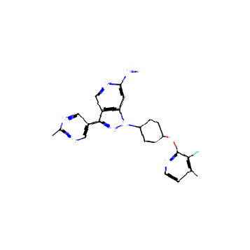 CCNc1cc2c(cn1)c(-c1cnc(C)nc1)nn2C1CCC(Oc2nccc(C(F)(F)F)c2F)CC1